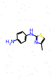 Cc1csc(Nc2ccc(N)cc2)n1